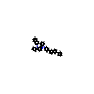 c1ccc(-c2ccc3cc(-c4ccc(-n5c6ccccc6c6c5ccc5c7ccccc7n(-c7ccc8ccccc8c7)c56)cc4)ccc3c2)cc1